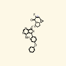 Nc1ncnc2c1c(-c1ccc(Oc3ccccc3)cc1)nn2C[C@H]1CCCN1C(=O)/C(F)=C\C1CC1